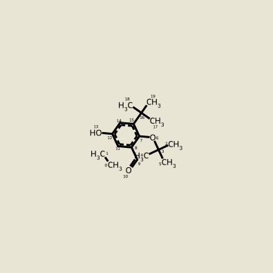 CC.CC(C)(C)Oc1c(C=O)cc(O)cc1C(C)(C)C